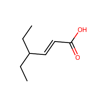 CCC(C=CC(=O)O)CC